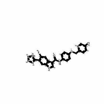 O=C(Nc1ccc(OCc2ccc(Cl)cn2)cc1)c1coc2cc(-c3nnn[nH]3)c(F)cc12